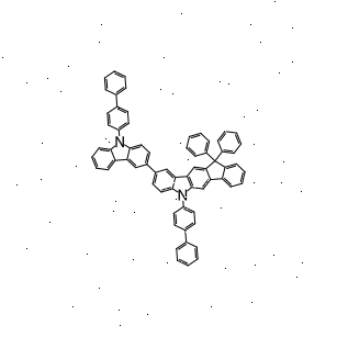 c1ccc(-c2ccc(-n3c4ccccc4c4cc(-c5ccc6c(c5)c5cc7c(cc5n6-c5ccc(-c6ccccc6)cc5)-c5ccccc5C7(c5ccccc5)c5ccccc5)ccc43)cc2)cc1